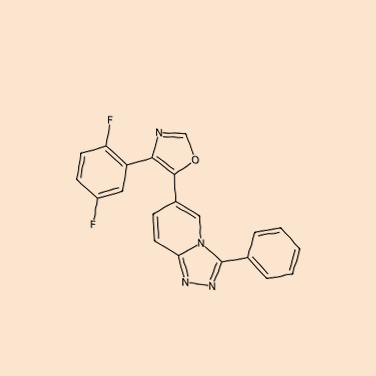 Fc1ccc(F)c(-c2ncoc2-c2ccc3nnc(-c4ccccc4)n3c2)c1